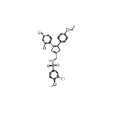 CCOc1ccc(C2CC(CNS(=O)(=O)c3ccc(OC)c(Cl)c3)=NN2c2ccc(Cl)cc2Cl)cc1